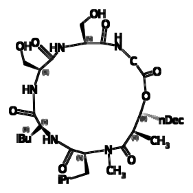 CCCCCCCCCC[C@H]1OC(=O)CNC(=O)[C@H](CO)NC(=O)[C@H](CO)NC(=O)[C@H]([C@H](C)CC)NC(=O)[C@H](CC(C)C)N(C)C(=O)[C@@H]1C